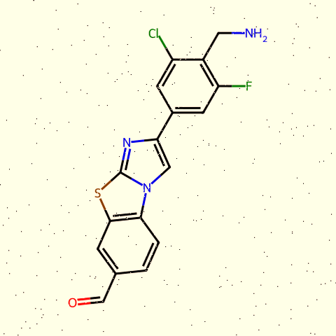 NCc1c(F)cc(-c2cn3c(n2)sc2cc(C=O)ccc23)cc1Cl